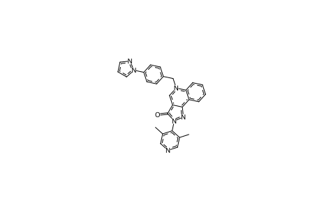 Cc1cncc(C)c1-n1nc2c3ccccc3n(Cc3ccc(-n4cccn4)cc3)cc-2c1=O